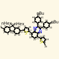 CCCCCCC1(CCCCCC)c2cc(C)ccc2-c2ccc(-c3ccc(-c4ccc(-c5ccc(C)s5)c5nc(-c6ccc(CCCC)cc6)c(-c6ccc(CCCC)cc6)nc45)s3)cc21